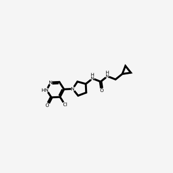 O=C(NCC1CC1)NC1CCN(c2cn[nH]c(=O)c2Cl)C1